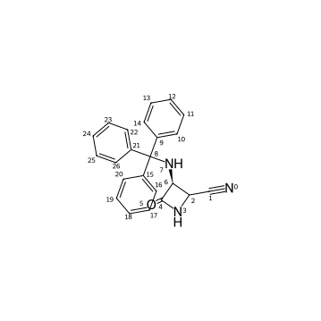 N#CC1NC(=O)[C@H]1NC(c1ccccc1)(c1ccccc1)c1ccccc1